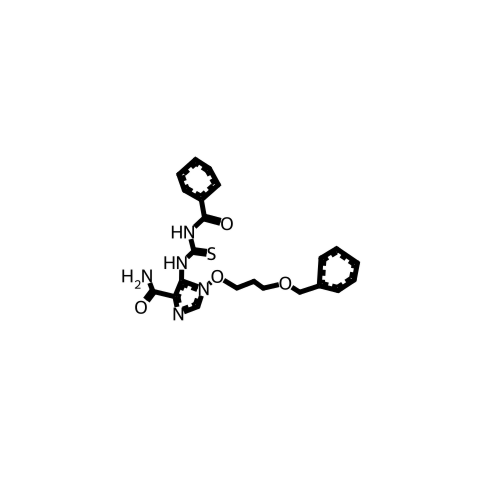 NC(=O)c1ncn(OCCCOCc2ccccc2)c1NC(=S)NC(=O)c1ccccc1